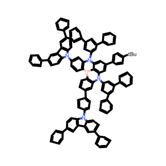 CC(C)(C)c1ccc(-c2cc3c4c(c2)N(c2cc(-c5ccccc5)cc(-c5ccccc5)c2)c2cc(-n5c6ccc(-c7ccccc7)cc6c6cc(-c7ccccc7)ccc65)ccc2B4c2ccc(-c4ccc(-n5c6ccc(-c7ccccc7)cc6c6cc(-c7ccccc7)ccc65)cc4)cc2N3c2cc(-c3ccccc3)cc(-c3ccccc3)c2)cc1